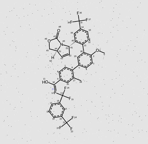 COc1ccc(-c2ccc(/C(O)=P\C(F)(F)c3cccc(C(F)(F)F)c3)cc2C)cc1-c1ncc(C(F)(F)F)cc1[C@@H]1C=C[C@H]2COC(=O)N21